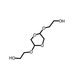 OCCOC1COC(OCCO)CO1